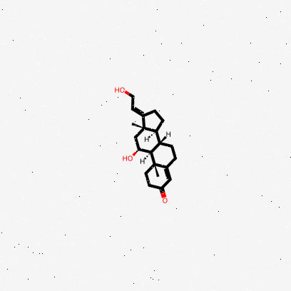 C[C@]12CCC(=O)C=C1CC[C@@H]1[C@@H]2[C@@H](O)C[C@]2(C)/C(=C/CO)CC[C@@H]12